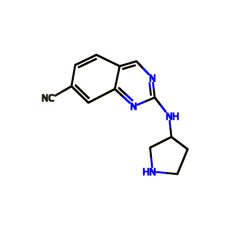 N#Cc1ccc2cnc(NC3CCNC3)nc2c1